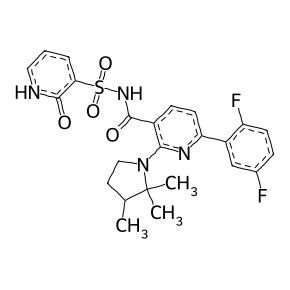 CC1CCN(c2nc(-c3cc(F)ccc3F)ccc2C(=O)NS(=O)(=O)c2ccc[nH]c2=O)C1(C)C